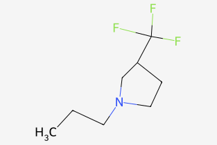 CCCN1CCC(C(F)(F)F)C1